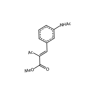 COC(=O)/C(=C/c1cccc(NC(C)=O)c1)C(C)=O